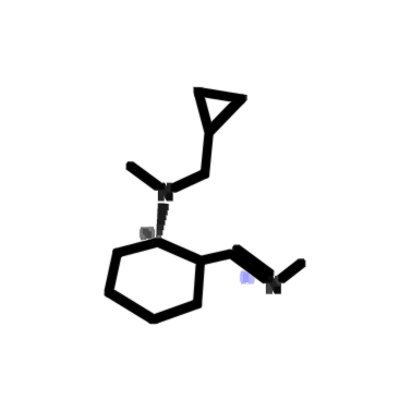 C/N=C/C1CCCC[C@@H]1N(C)CC1CC1